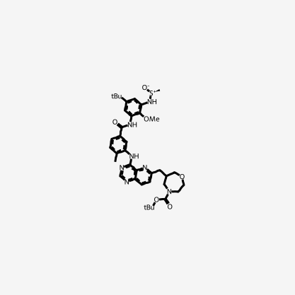 COc1c(NC(=O)c2ccc(C)c(Nc3ncnc4ccc(CC5COCCN(C(=O)OC(C)(C)C)C5)nc34)c2)cc(C(C)(C)C)cc1N[S@+](C)[O-]